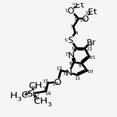 CCOC(CCSc1nc2c(ccn2COCC[Si](C)(C)C)cc1Br)OCC